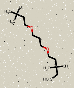 CCC(C)(C)CCOCCCOCCC(C)(C)CS(=O)(=O)O